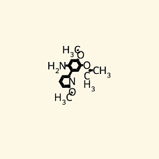 COc1cccc(-c2cc(OC(C)C)c(OC)cc2N)n1